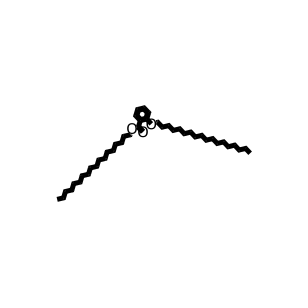 CCCCCCCCCCCCCCCCCCOC(=O)c1ccccc1OCCCCCCCCCCCCCCCCCC